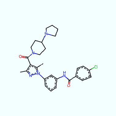 Cc1nn(-c2cccc(NC(=O)c3ccc(Cl)cc3)c2)c(C)c1C(=O)N1CCC(N2CCCC2)CC1